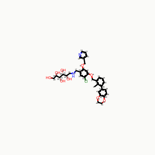 Cc1c(COc2cc(OCc3cccnc3)c(CNC[C@H](O)[C@@H](O)[C@H](O)[C@H](O)CO)cc2Cl)cccc1-c1ccc2c(c1)OCCO2